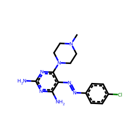 CN1CCN(c2nc(N)nc(N)c2N=Nc2ccc(Cl)cc2)CC1